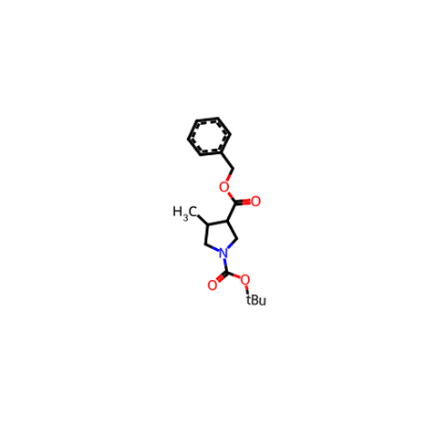 CC1CN(C(=O)OC(C)(C)C)CC1C(=O)OCc1ccccc1